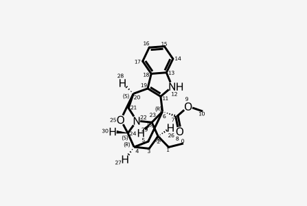 CC[C@H]1C[C@@H]2C[C@]3(C(=O)OC)c4[nH]c5ccccc5c4[C@H]4CN([C@@H]13)[C@H]2O4